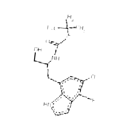 CC(C)(C)OC(=O)NC(CO)Cc1cc(Cl)c(F)c2cc[nH]c12